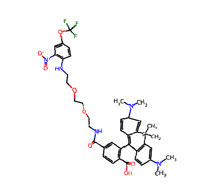 CN(C)c1ccc2c(c1)[Si](C)(C)C1=CC(N(C)C)C=CC1=C2c1cc(C(=O)NCCOCCOCCNc2ccc(OC(F)(F)F)cc2[N+](=O)[O-])ccc1C(=O)O